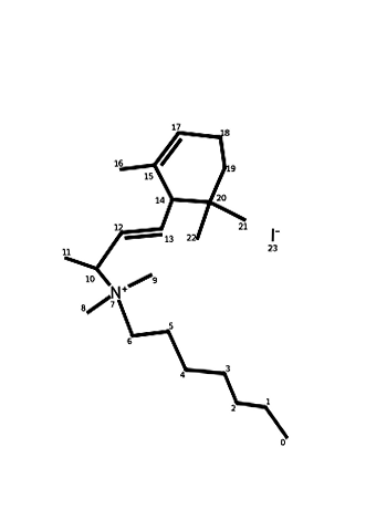 CCCCCCC[N+](C)(C)C(C)/C=C/C1C(C)=CCCC1(C)C.[I-]